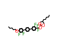 CCCCCOc1ccc(-c2ccc(-c3ccc(C(F)(F)OC4OCC(CCCCC)CO4)c(F)c3)cc2)c(F)c1F